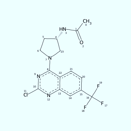 CC(=O)N[C@H]1CCN(c2nc(Cl)nc3cc(C(F)(F)F)ccc23)C1